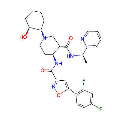 C[C@@H](NC(=O)[C@H]1CN([C@@H]2CCCC[C@@H]2O)CC[C@@H]1NC(=O)c1cc(-c2ccc(F)cc2F)on1)c1ccccn1